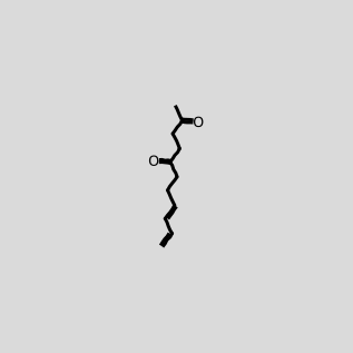 C=C/C=C/CCC(=O)CCC(C)=O